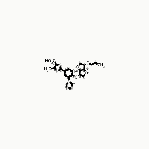 C=CCO[C@H]1CO[C@H]2[C@@H]1OC[C@@H]2Oc1ccc(-c2nc(C)c(C(=O)O)s2)cc1-n1cnnn1